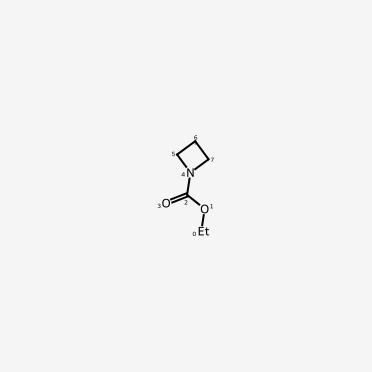 CCOC(=O)N1C[CH]C1